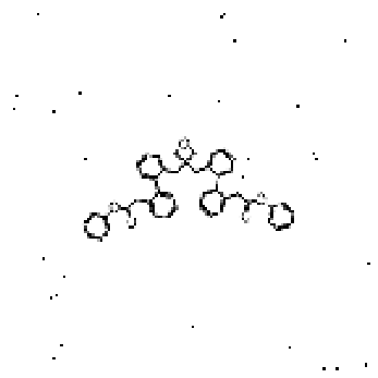 O=C(Cc1ccccc1-c1ccccc1CC1(Cc2ccccc2-c2ccccc2CC(=O)Oc2ccccc2)COC1)Oc1ccccc1